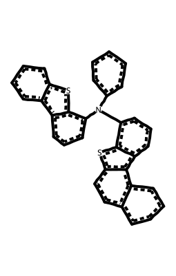 c1ccc(N(c2cccc3c2sc2ccccc23)c2cccc3c2sc2ccc4ccccc4c23)cc1